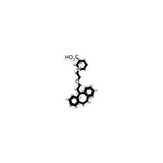 O=C(O)[C@@H]1CCCN(CCOCCC2c3ccccc3CCc3ccccc32)C1